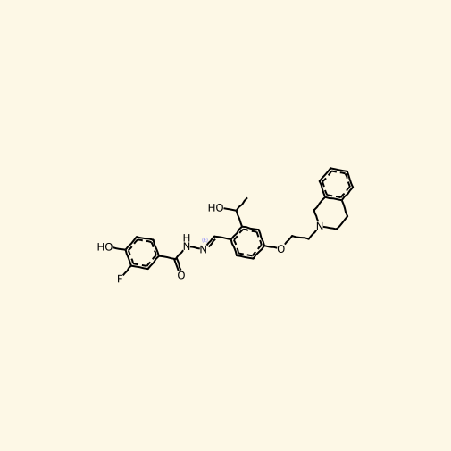 CC(O)c1cc(OCCN2CCc3ccccc3C2)ccc1/C=N/NC(=O)c1ccc(O)c(F)c1